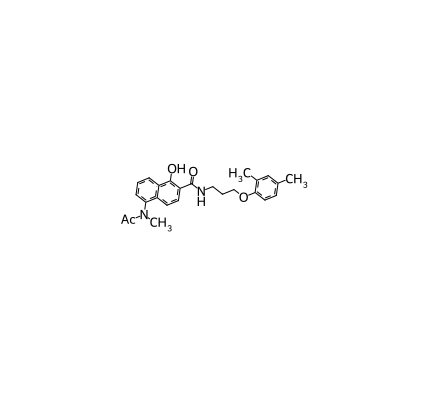 CC(=O)N(C)c1cccc2c(O)c(C(=O)NCCCOc3ccc(C)cc3C)ccc12